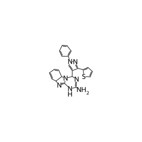 NC1=NC(c2cn(-c3ccccc3)nc2-c2cccs2)N2C(=NC3C=CC=CC32)N1